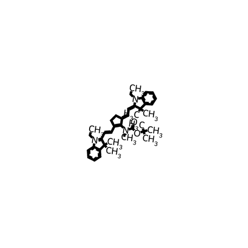 CCN1/C(=C/C=C2\CCC(/C=C/C3=[N+](CC)c4ccccc4C3(C)C)=C2N(C)C(=O)OC(C)(C)C)C(C)(C)c2ccccc21